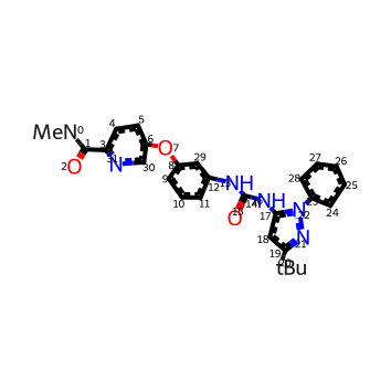 CNC(=O)c1ccc(Oc2cccc(NC(=O)Nc3cc(C(C)(C)C)nn3-c3ccccc3)c2)cn1